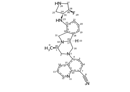 C[C@@H]1CN(c2ccc(C#N)c3ncccc23)C[C@@H]2c3cccc(N[C@H]4CNC[C@H]4F)c3CN12